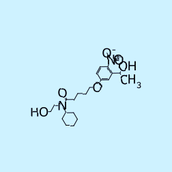 CC(O)c1cc(OCCCCC(=O)N(CCO)C2CCCCC2)ccc1[N+](=O)[O-]